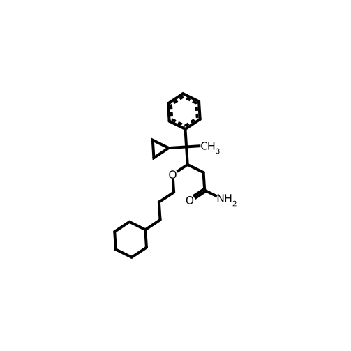 CC(c1ccccc1)(C1CC1)C(CC(N)=O)OCCCC1CCCCC1